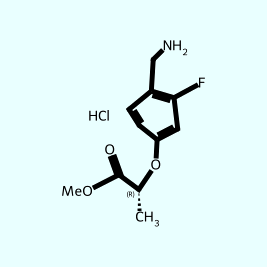 COC(=O)[C@@H](C)Oc1ccc(CN)c(F)c1.Cl